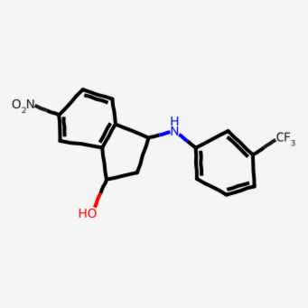 O=[N+]([O-])c1ccc2c(c1)C(O)CC2Nc1cccc(C(F)(F)F)c1